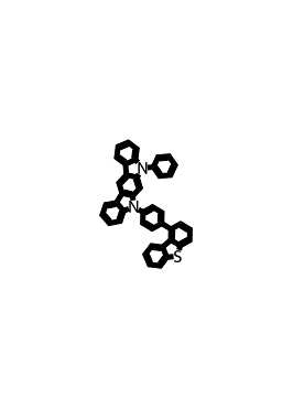 c1ccc(-n2c3ccccc3c3cc4c5ccccc5n(-c5ccc(-c6cccc7sc8ccccc8c67)cc5)c4cc32)cc1